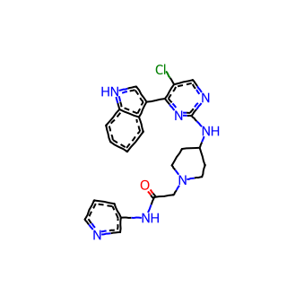 O=C(CN1CCC(Nc2ncc(Cl)c(-c3c[nH]c4ccccc34)n2)CC1)Nc1cccnc1